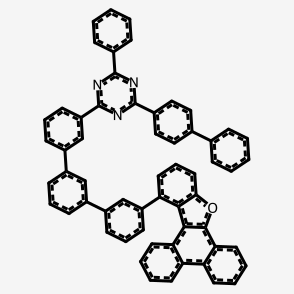 c1ccc(-c2ccc(-c3nc(-c4ccccc4)nc(-c4cccc(-c5cccc(-c6cccc(-c7cccc8oc9c%10ccccc%10c%10ccccc%10c9c78)c6)c5)c4)n3)cc2)cc1